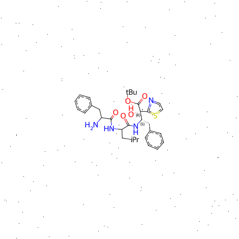 CC(C)CC(NC(=O)C(N)Cc1ccccc1)C(=O)N[C@@H](Cc1ccccc1)[C@@](O)(C(=O)OC(C)(C)C)c1nccs1